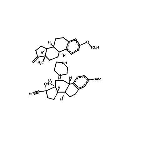 C#C[C@]1(O)CC[C@H]2[C@@H]3CCc4cc(OC)ccc4[C@H]3CC[C@@]21C.C1CNCCN1.C[C@]12CC[C@@H]3c4ccc(OS(=O)(=O)O)cc4CC[C@H]3[C@@H]1CCC2=O